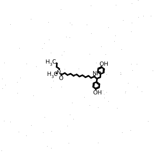 CCCCN(C)C(=O)CCCCCCCCCCC(=N)C(Cc1ccc(O)cc1)c1ccc(O)cc1